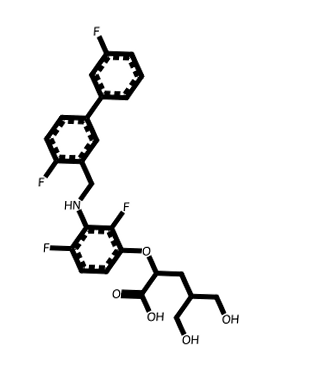 O=C(O)C(CC(CO)CO)Oc1ccc(F)c(NCc2cc(-c3cccc(F)c3)ccc2F)c1F